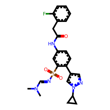 CN(C)C=NS(=O)(=O)c1cc(NC(=O)Cc2ccccc2F)ccc1-c1cnn(C2CC2)c1